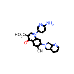 N#Cc1cc2c(=O)c(C(=O)O)cn(-c3ccc(N)nc3)c2cc1N1Cc2cccnc2C1